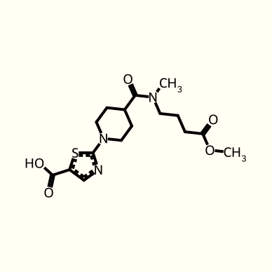 COC(=O)CCCN(C)C(=O)C1CCN(c2ncc(C(=O)O)s2)CC1